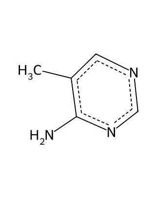 Cc1cncnc1N